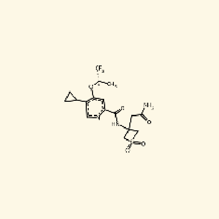 C[C@H](Oc1cc(C(=O)NC2(CC(N)=O)CS(=O)(=O)C2)ncc1C1CC1)C(F)(F)F